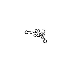 CCOC(=O)[C@H](CCOCc1ccccc1)N1CC(C)N(C(=O)OCc2ccccc2)CCC1=O